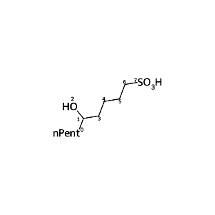 CCCCCC(O)CCCCS(=O)(=O)O